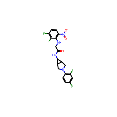 O=C(CNc1c([N+](=O)[O-])ccc(F)c1F)NC1C2CN(c3ccc(F)cc3F)CC21